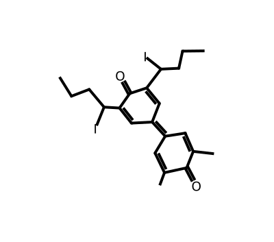 CCCC(I)C1=CC(=C2C=C(C)C(=O)C(C)=C2)C=C(C(I)CCC)C1=O